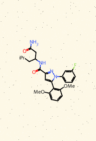 COc1cccc(OC)c1-c1cc(C(=O)NC(CC(N)=O)CC(C)C)nn1-c1cccc(F)c1